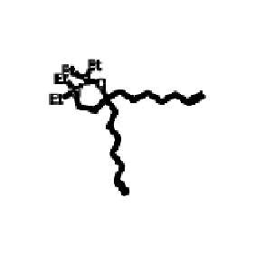 C=CCCCCCC1(CCCCCC=C)CC[Si](CC)(CC)[Si](CC)(CC)O1